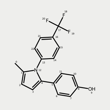 Cc1ccc(-c2ccc(O)cc2)n1-c1ccc(C(F)(F)F)cc1